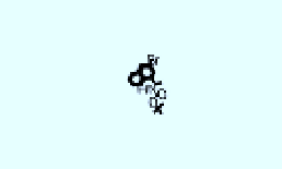 CC(NC(=O)OC(C)(C)C)c1cc(Br)cc2ccccc12